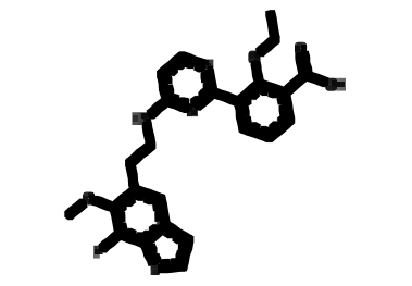 CCOc1c(C(=O)O)cccc1-c1nccc(NCCc2cc3ccsc3c(F)c2OC)n1